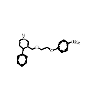 COc1ccc(OCCOCC2CNCCC2c2ccccc2)cc1